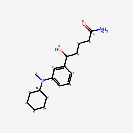 CN(c1cccc(C(O)CCCC(N)=O)c1)C1CCCCC1